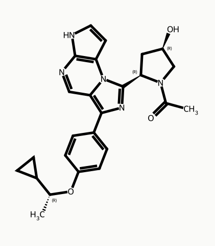 CC(=O)N1C[C@H](O)C[C@@H]1c1nc(-c2ccc(O[C@H](C)C3CC3)cc2)c2cnc3[nH]ccc3n12